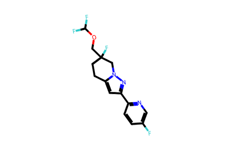 Fc1ccc(-c2cc3n(n2)CC(F)(COC(F)F)CC3)nc1